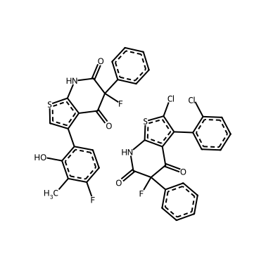 Cc1c(F)ccc(-c2csc3c2C(=O)C(F)(c2ccccc2)C(=O)N3)c1O.O=C1Nc2sc(Cl)c(-c3ccccc3Cl)c2C(=O)C1(F)c1ccccc1